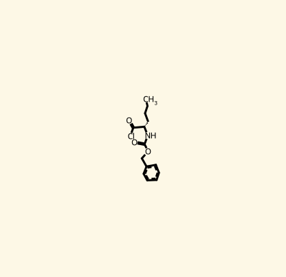 CCCC[C@H](NC(=O)OCc1ccccc1)C(=O)Cl